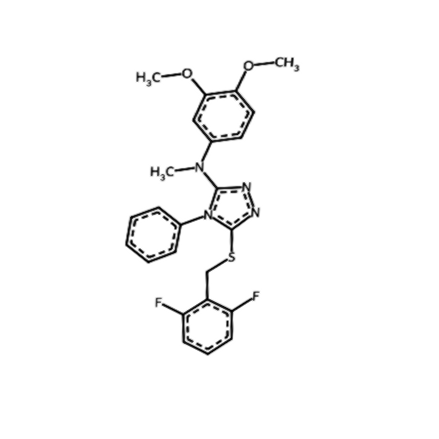 COc1ccc(N(C)c2nnc(SCc3c(F)cccc3F)n2-c2ccccc2)cc1OC